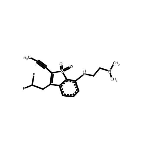 CC#CC1=C(CC(F)F)c2cccc(NCCN(C)C)c2S1(=O)=O